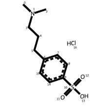 CN(C)CCCc1ccc(S(=O)(=O)O)cc1.Cl